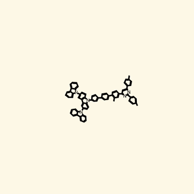 Cc1ccc(-c2cc(-c3ccc(-c4ccc(-c5ccc(-n6c7ccc(-n8c9ccccc9c9ccccc98)cc7c7cc(-n8c9ccccc9c9ccccc98)ccc76)cc5)cc4)c(C)c3)nc(-c3ccc(C)cc3)n2)cc1